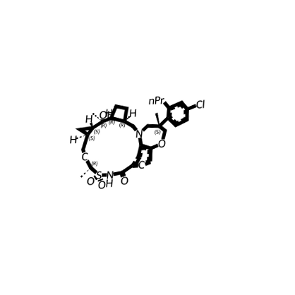 CCCc1cc(Cl)ccc1[C@]1(C)COc2ccc3cc2N(C[C@@H]2CC[C@H]2[C@](C)(O)[C@H]2C[C@@H]2CC[C@@H](C)S(=O)(=O)NC3=O)C1